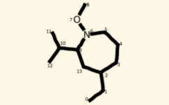 CCC1CCCN(OC)C(C(C)C)C1